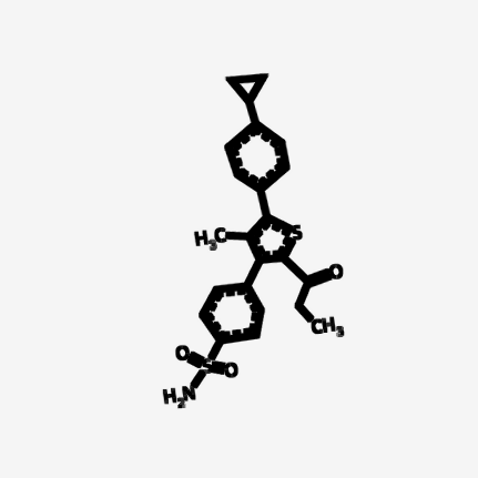 CCC(=O)c1sc(-c2ccc(C3CC3)cc2)c(C)c1-c1ccc(S(N)(=O)=O)cc1